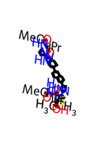 COC(=O)N[C@H](C(=O)N1CCC[C@H]1c1nc2ccc(-c3ccc4cc(-c5cnc([C@@H]6CSC(CC(C)(C)O)N6C(=O)[C@@H](NC(=O)OC)C(C)C)[nH]5)ccc4c3)cc2[nH]1)C(C)C